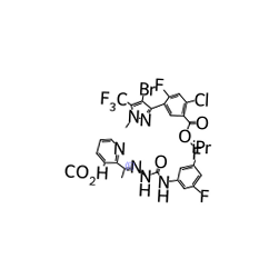 C/C(=N\NC(=O)Nc1cc(F)cc(F)c1)c1ncccc1C(=O)O.CC(C)OC(=O)c1cc(-c2nn(C)c(C(F)(F)F)c2Br)c(F)cc1Cl